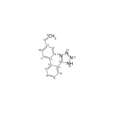 C=Cc1ccc(-c2ccccc2-c2nnn[nH]2)cc1